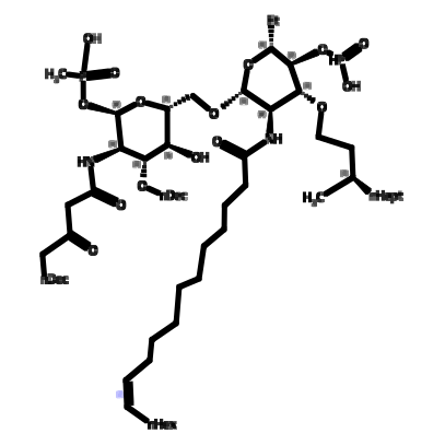 CCCCCC/C=C\CCCCCCCCCC(=O)N[C@H]1[C@H](OC[C@H]2O[C@H](OP(C)(=O)O)[C@H](NC(=O)CC(=O)CCCCCCCCCCC)[C@@H](OCCCCCCCCCC)[C@@H]2O)O[C@H](CC)[C@@H](O[PH](=O)O)[C@@H]1OCC[C@H](C)CCCCCCC